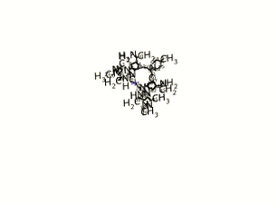 C=C(N)c1cc2c3c(c1)nc(NC(=C)c1cc(C)nn1CC)n3C/C=C/Cn1c(NC(=C)c3cc(C)nn3CC)nc3cc(C(=C)N)cc(c31)CCC(N1CCC(C)CC1)CC2